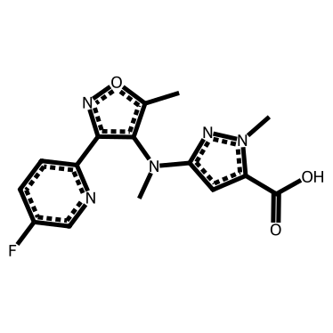 Cc1onc(-c2ccc(F)cn2)c1N(C)c1cc(C(=O)O)n(C)n1